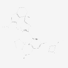 C[C@H](Oc1cc(O[C@H]2CN[C@@H]2C)cc(-c2noc([C@@]3(C)CCCc4sc(N)c(C#N)c43)n2)n1)[C@@H]1CCCN1C